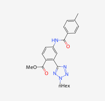 CCCCCCn1nnc(-c2cc(NC(=O)c3ccc(C)cc3)ccc2C(=O)OC)n1